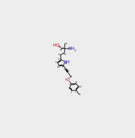 Cc1ccc(OCC#Cc2ccc(CCC(C)(N)CO)[nH]2)cc1